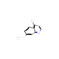 [Li][c]1ccnc2cc(OC)ccc12